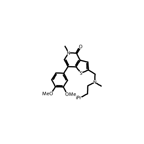 COc1ccc(-c2cn(C)c(=O)c3cc(CN(C)CCC(C)C)sc23)cc1OC